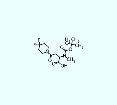 CN(C(=O)OC(C)(C)C)C(CC(=O)N1CCC(F)(F)CC1)C(=O)O